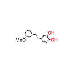 COc1cccc(CCc2ccc(O)c(O)c2)c1